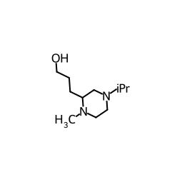 CC(C)N1CCN(C)C(CCCO)C1